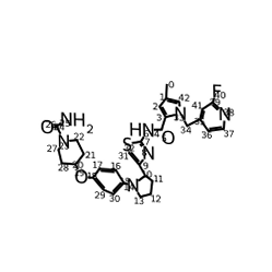 Cc1cc(C(=O)Nc2nc(C3CCCN3c3ccc(OC4CCN(C(N)=O)CC4)cc3)cs2)n(Cc2ccnc(F)c2)c1